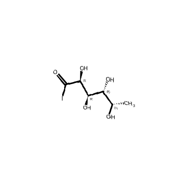 C[C@H](O)[C@@H](O)[C@@H](O)[C@H](O)C(=O)I